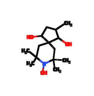 CC1CC(O)C2(CC(C)(C)N(O)C(C)(C)C2)C1O